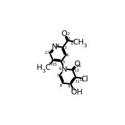 CC(=O)c1cc(-n2ccc(O)c(Cl)c2=O)c(C)cn1